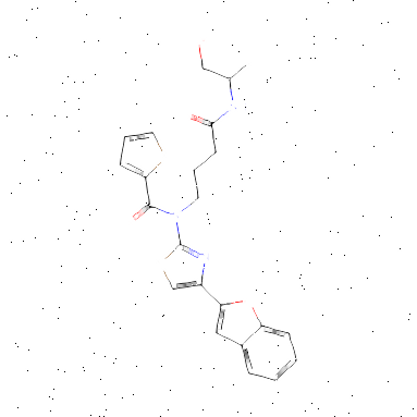 CC(CO)NC(=O)CCCN(C(=O)c1cccs1)c1nc(-c2cc3ccccc3o2)cs1